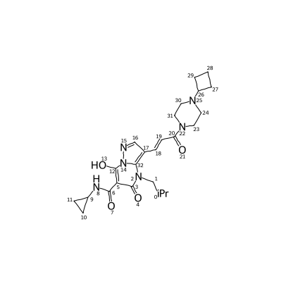 CC(C)Cn1c(=O)c(C(=O)NC2CC2)c(O)n2ncc(C=CC(=O)N3CCN(C4CCC4)CC3)c12